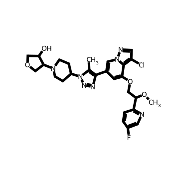 COC(COc1cc(-c2nnn(C3CCN(C4COCC4O)CC3)c2C)cn2ncc(Cl)c12)c1ccc(F)cn1